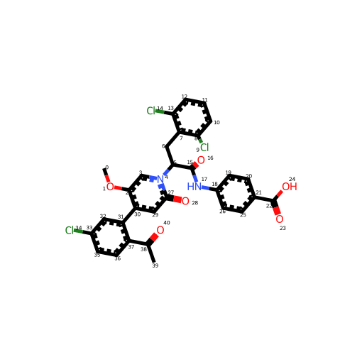 COc1cn(C(Cc2c(Cl)cccc2Cl)C(=O)Nc2ccc(C(=O)O)cc2)c(=O)cc1-c1cc(Cl)ccc1C(C)=O